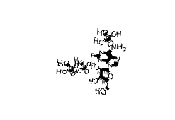 Nc1nc(F)nc2c1ncn2[C@@H]1O[C@H](CO)[C@@H](O)[C@@H]1O.O=P(O)(O)O.O=P(O)(O)O.O=P(O)(O)O